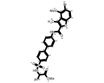 COC(=O)C(NS(=O)(=O)c1ccc(-c2ccc(NC(=O)c3oc4ccc(Br)c(OC)c4c3C)cc2)cc1)C(C)C